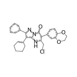 O=c1c(-c2ccc3c(c2)OCCO3)c(CCl)[nH]c2c(C3=CCCCC3)c(-c3ccccc3)nn12